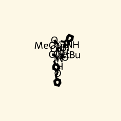 COC(=O)[C@H](CC1C(=O)Nc2ccccc21)NC(=O)NC(=O)[C@H](Cc1ccc(OCc2ccccc2)cc1)NC(=O)OC(C)(C)C